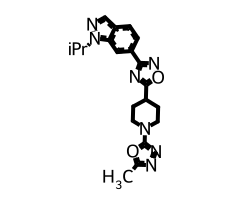 Cc1nnc(N2CCC(c3nc(-c4ccc5cnn(C(C)C)c5c4)no3)CC2)o1